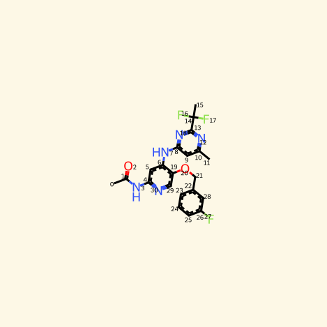 CC(=O)Nc1cc(Nc2cc(C)nc(C(C)(F)F)n2)c(OCc2cccc(F)c2)cn1